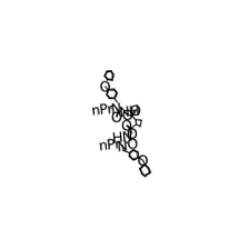 CCCN(Cc1ccc(Oc2ccccc2)cc1)C(=O)NOC(=O)C1CCC1C(=O)ONC(=O)N(CCC)Cc1ccc(Oc2ccccc2)cc1